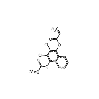 C=CC(=O)Oc1c(Cl)c(Cl)c(OC(=O)OC)c2ccccc12